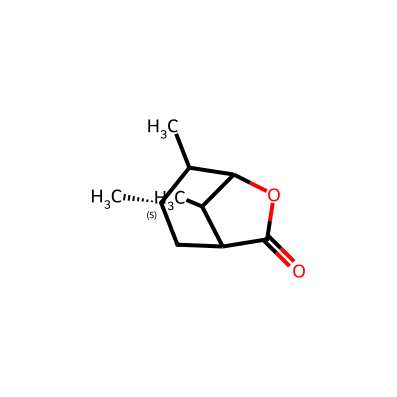 CC1C2C[C@H](C)C(C)C1OC2=O